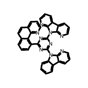 c1cnc2c(c1)ccc1cccc(-c3nc(-n4c5ccccc5c5cccnc54)nc(-n4c5ncccc5c5cccnc54)n3)c12